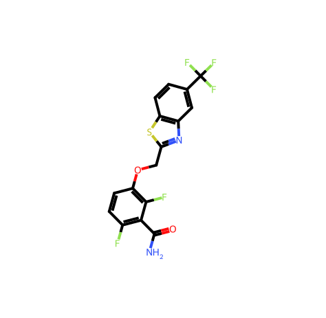 NC(=O)c1c(F)ccc(OCc2nc3cc(C(F)(F)F)ccc3s2)c1F